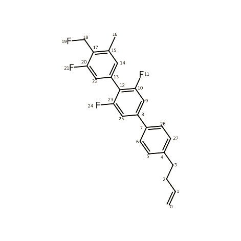 C=CCCc1ccc(-c2cc(F)c(-c3cc(C)c(CF)c(F)c3)c(F)c2)cc1